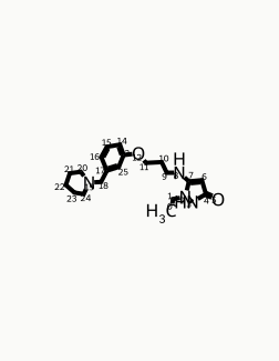 CCn1[nH]c(=O)cc1NCCCOc1cccc(CN2CCCCC2)c1